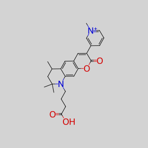 CC1CC(C)(C)N(CCCC(=O)O)c2cc3oc(=O)c(-c4ccc[n+](C)c4)cc3cc21